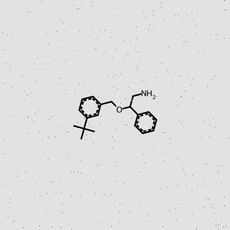 CC(C)(C)c1cccc(COC(CN)c2ccccc2)c1